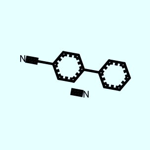 C#N.N#Cc1ccc(-c2ccccc2)cc1